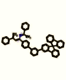 C=C(/C=C(\N=C(/C)c1ccccc1)c1ccc(-c2cccc(-c3ccc4c(c3)-c3ccccc3C43c4ccccc4-c4ccccc43)c2)cc1)c1ccccc1